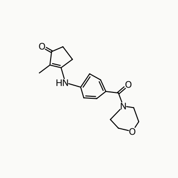 CC1=C(Nc2ccc(C(=O)N3CCOCC3)cc2)CCC1=O